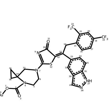 CC(C)(C)OC(=O)N1CCN(C2=NC(=O)C(=C(Cc3ccc(C(F)(F)F)cc3C(F)(F)F)c3ccc4[nH]ncc4c3)S2)CC12CC2